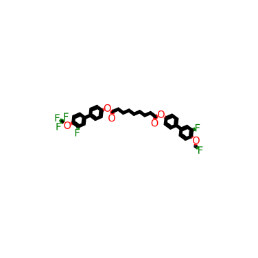 O=C(CCCCCCCC(=O)Oc1ccc(-c2ccc(OC(F)(F)F)c(F)c2)cc1)Oc1ccc(-c2ccc(OCF)c(F)c2)cc1